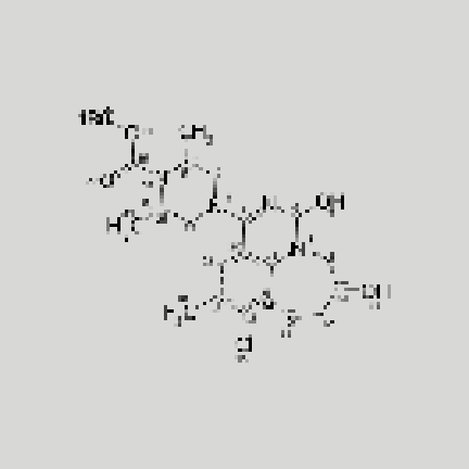 C[C@@H]1CN(C2=NC(O)N3C[C@H](O)CSc4c(Cl)c(C(F)(F)F)cc2c43)C[C@H](C)N1C(=O)OC(C)(C)C